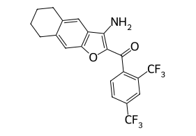 Nc1c(C(=O)c2ccc(C(F)(F)F)cc2C(F)(F)F)oc2cc3c(cc12)CCCC3